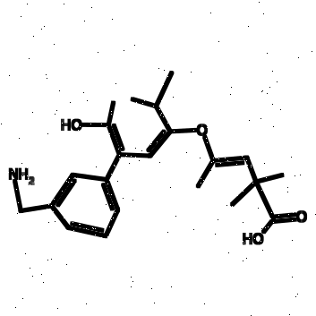 C/C(O)=C(\C=C(\O/C(C)=C/C(C)(C)C(=O)O)C(C)C)c1cccc(CN)c1